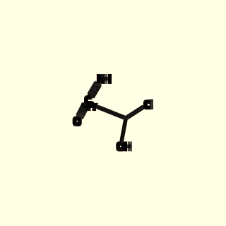 CCCC(O)Cl.N=C=O